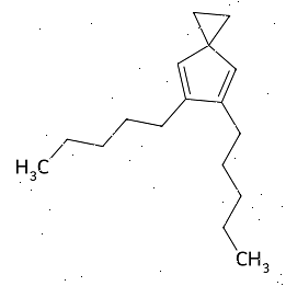 CCCCCC1=CC2(C=C1CCCCC)CC2